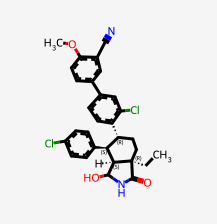 CC[C@@]12CC[C@@H](c3ccc(-c4ccc(OC)c(C#N)c4)cc3Cl)[C@H](c3ccc(Cl)cc3)[C@@H]1C(O)NC2=O